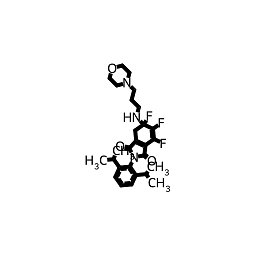 CC(C)c1cccc(C(C)C)c1N1C(=O)C2=C(C1=O)C(F)=C(F)C(F)(NCCCN1CCOCC1)C2